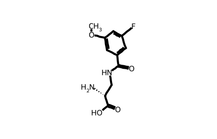 COc1cc(F)cc(C(=O)NC[C@@H](N)C(=O)O)c1